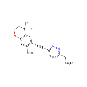 CCCCCCc1cc2c(cc1C#Cc1ccc(CC(=O)OCC)nn1)C(CC)(CC)CCO2